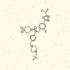 CC(C)(F)CN1CCN(Cc2ccc(N(Cc3ccc(-c4nnc(C(F)F)o4)cc3F)C(=O)N3CCS(=O)(=O)CC3)cc2)CC1